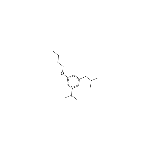 CCCCOc1cc(CC(C)C)cc([C](C)C)c1